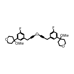 COC1(c2cc(F)cc(CC#COC#CCc3cc(F)cc(C4(OC)CCOCC4)c3)c2)CCOCC1